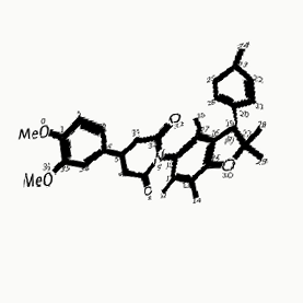 COc1ccc(C2CC(=O)N(c3c(C)c(C)c4c(c3C)[C@@H](c3ccc(C)cc3)C(C)(C)O4)C(=O)C2)cc1OC